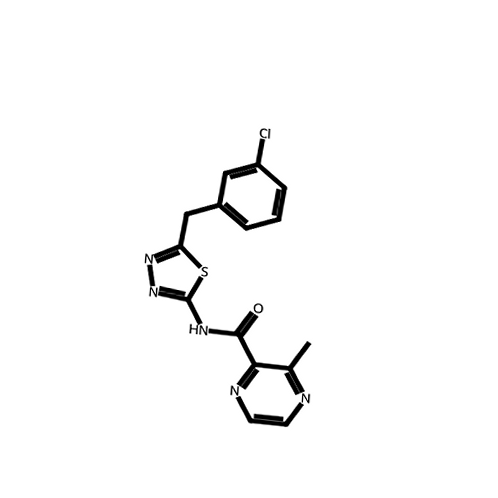 Cc1nccnc1C(=O)Nc1nnc(Cc2cccc(Cl)c2)s1